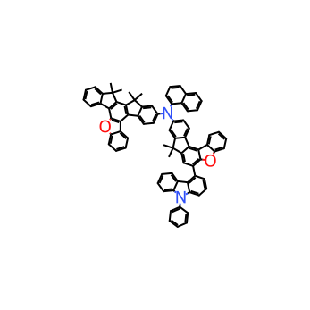 CC1(C)c2cc(N(c3ccc4c(c3)C(C)(C)c3c5c(c6oc7ccccc7c6c3-4)-c3ccccc3C5(C)C)c3cccc4ccccc34)ccc2-c2c1cc(-c1cccc3c1c1ccccc1n3-c1ccccc1)c1oc3ccccc3c21